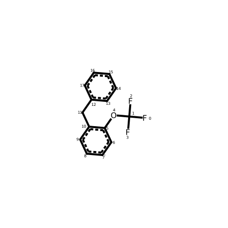 FC(F)(F)Oc1c[c]ccc1Cc1ccccc1